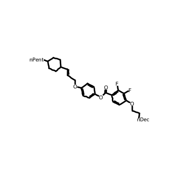 CCCCCCCCCCCCOc1ccc(C(=O)Oc2ccc(OCC=CC3CCC(CCCCC)CC3)cc2)c(F)c1F